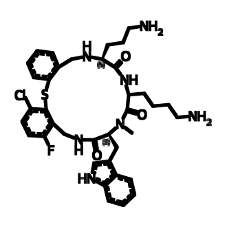 CN1C(=O)C(CCCCN)NC(=O)[C@H](CCCN)NCc2ccccc2Sc2c(Cl)ccc(F)c2CNC(=O)[C@@H]1Cc1c[nH]c2ccccc12